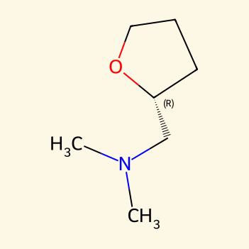 CN(C)C[C@H]1CCCO1